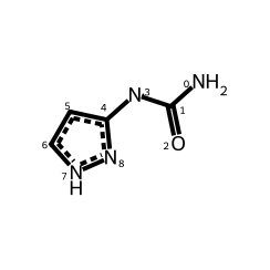 NC(=O)[N]c1cc[nH]n1